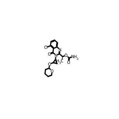 C[C@H](OC(N)=O)c1nc2cccc(Cl)c2c(=O)n1C1CC1OC1CCCCO1